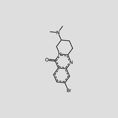 CN(C)C1CCc2nc3cc(Br)ccc3c(=O)n2C1